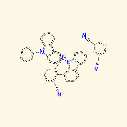 N#Cc1cccc(C#N)c1-c1ccc2c(c1)c1cccc(-c3c(C#N)cccc3C#N)c1n2-c1ccc2c(c1)c1ccccc1n2-c1ccccc1